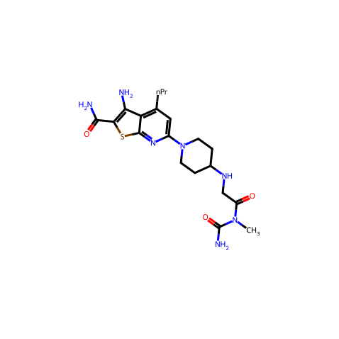 CCCc1cc(N2CCC(NCC(=O)N(C)C(N)=O)CC2)nc2sc(C(N)=O)c(N)c12